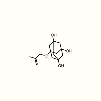 C=C(C)COC12CC3(O)CC(O)(CC(O)(C3)C1)C2